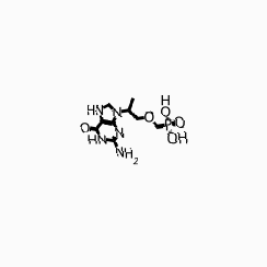 CC(COCP(=O)(O)O)N1CNc2c1nc(N)[nH]c2=O